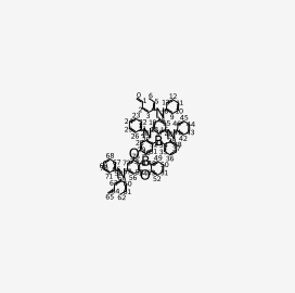 C=C/C=C\C(=C/C)N(c1ccccc1)c1cc2c3c(c1)N(c1ccccc1)c1cc4c(cc1B3c1ccccc1N2c1ccccc1)B1c2ccccc2Oc2cc(N(C(/C=C\C)=C/C=C)c3ccccc3)cc(c21)O4